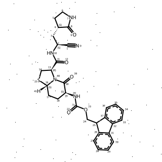 N#C[C@H](C[C@@H]1CCNC1=O)NC(=O)[C@@H]1CS[C@H]2CC[C@H](NC(=O)OCC3c4ccccc4-c4ccccc43)C(=O)N21